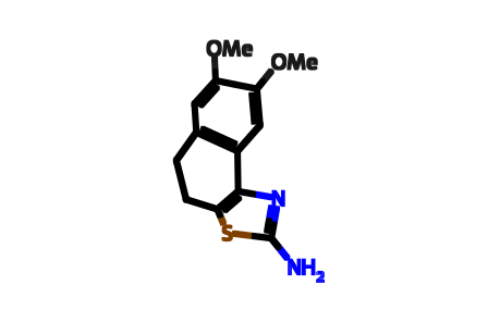 COc1cc2c(cc1OC)-c1nc(N)sc1CC2